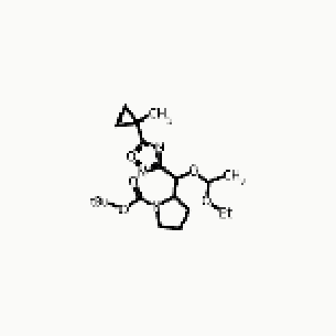 CCOC(C)OC(c1noc(C2(C)CC2)n1)C1CCCN1C(=O)OC(C)(C)C